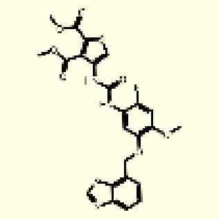 COC(=O)c1scc(NC(=O)Nc2cc(OCc3cccc4ncsc34)c(OC)cc2F)c1C(=O)OC